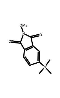 CON1C(=O)c2ccc([N+](C)(C)C)cc2C1=O